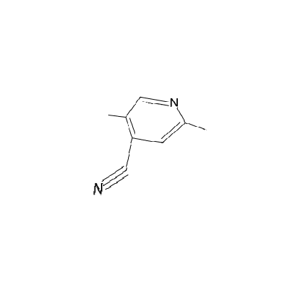 Cc1cc(C#N)c(C)cn1